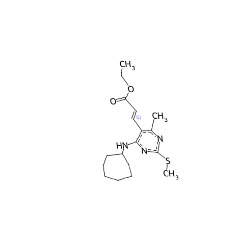 CCOC(=O)/C=C/c1c(C)nc(SC)nc1NC1CCCCCC1